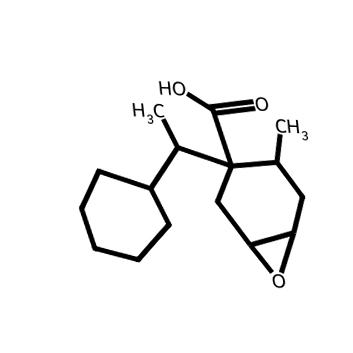 CC1CC2OC2CC1(C(=O)O)C(C)C1CCCCC1